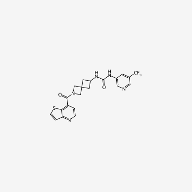 O=C(Nc1cncc(C(F)(F)F)c1)NC1CC2(C1)CN(C(=O)c1ccnc3ccsc13)C2